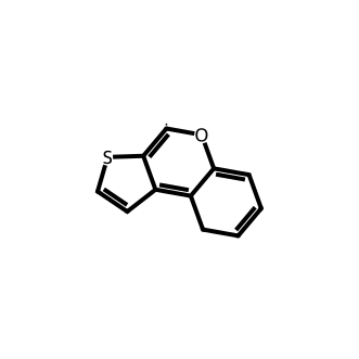 [C]1=c2sccc2=C2CC=CC=C2O1